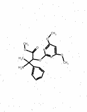 COC(=O)C(Oc1nc(OC)cc(OC)n1)C(C)(N)c1ccccc1